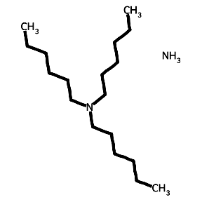 CCCCCCN(CCCCCC)CCCCCC.N